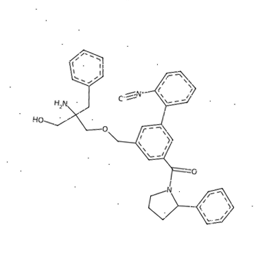 [C-]#[N+]c1ccccc1-c1cc(COCC(N)(CO)Cc2ccccc2)cc(C(=O)N2CCCC2c2ccccc2)c1